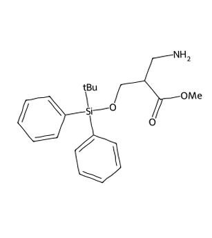 COC(=O)C(CN)CO[Si](c1ccccc1)(c1ccccc1)C(C)(C)C